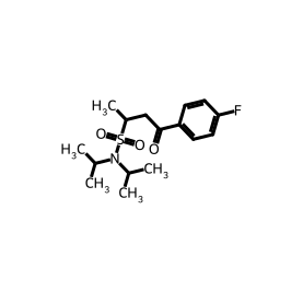 CC(C)N(C(C)C)S(=O)(=O)C(C)CC(=O)c1ccc(F)cc1